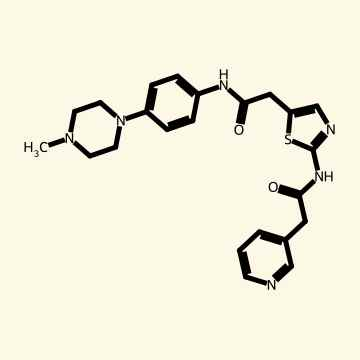 CN1CCN(c2ccc(NC(=O)Cc3cnc(NC(=O)Cc4cccnc4)s3)cc2)CC1